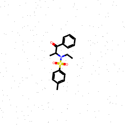 CCN(C(C)C(=O)c1ccccc1)S(=O)(=O)c1ccc(C)cc1